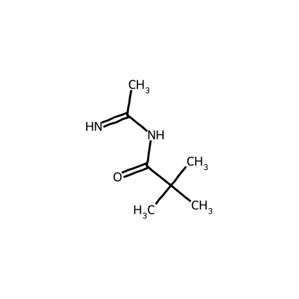 CC(=N)NC(=O)C(C)(C)C